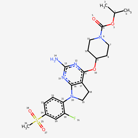 CC(C)OC(=O)N1CCC(Oc2nc(N)nc3c2CCN3c2ccc(S(C)(=O)=O)cc2F)CC1